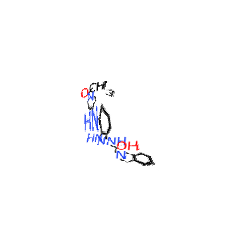 CC(=O)N1CCC(Nc2cccc3c(NC[C@H](O)CN4CCc5ccccc5C4)n[nH]c23)CC1